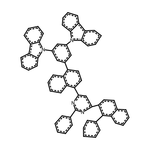 c1ccc(-c2nc(-c3ccc4ccccc4c3-c3ccccc3)cc(-c3ccc(-c4cc(-n5c6ccccc6c6ccccc65)cc(-n5c6ccccc6c6ccccc65)c4)c4ccccc34)n2)cc1